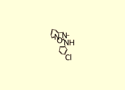 CN(Cc1ccccn1)C(=O)Nc1cccc(Cl)c1